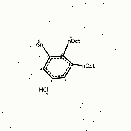 CCCCCCCCc1ccc[c]([Sn])c1CCCCCCCC.Cl